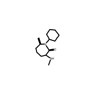 C=C1CCCC(NC)C(=O)N1C1CCCCC1